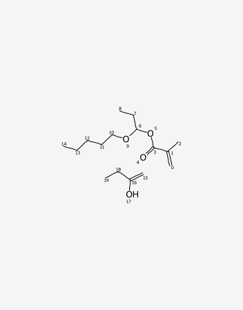 C=C(C)C(=O)OC(CC)OCCCCC.C=C(O)CC